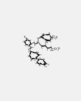 O=C(O)CCCCN(CCc1cc(F)ccc1COc1ccc(-c2ccccc2)cc1)Cc1ccc(C(=O)O)cc1